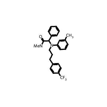 CNC(=O)C(c1ccccc1)N(CCCc1ccc(C(F)(F)F)cc1)c1cccc(C)c1